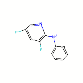 Fc1cnc(Nc2ccccc2)c(F)c1